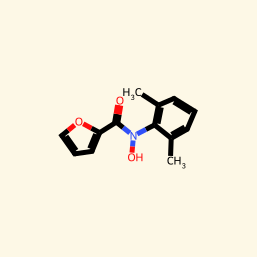 Cc1cccc(C)c1N(O)C(=O)c1ccco1